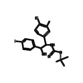 Cc1cc(C(NC(=O)OC(C)(C)C)C(O)c2ccc(I)cc2)ccc1Cl